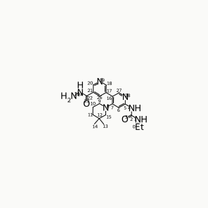 CCNC(=O)Nc1cc(N2CCCC(C)(C)C2)c(-c2cncc(C(=O)NN)c2)cn1